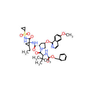 C=CC1C[C@]1(NC(=O)[C@@H]1C[C@@H](Oc2nccc3cc(OC)ccc23)CN1C(=O)[C@@H](NC(=O)OCc1ccccc1)C(C)(C)C)C(=O)NS(=O)(=O)C1CC1